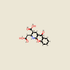 O=C(O)Cc1nc2oc3ccccc3c(=O)c2cc1C(=O)O